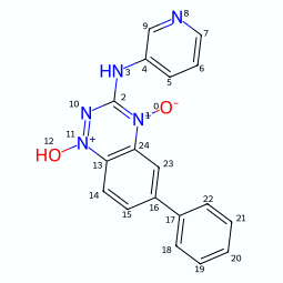 [O-][n+]1c(Nc2cccnc2)n[n+](O)c2ccc(-c3ccccc3)cc21